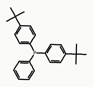 CC(C)(C)c1ccc(P(c2ccccc2)c2ccc(C(C)(C)C)cc2)cc1